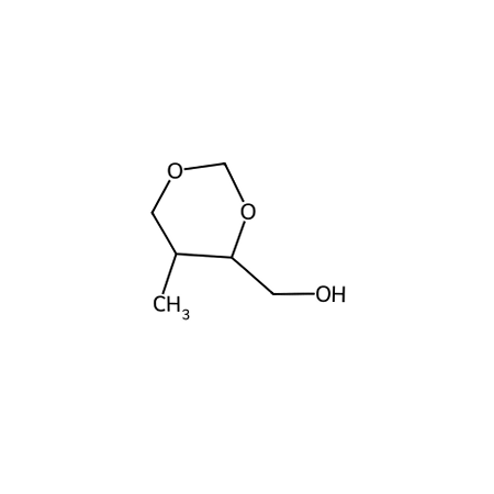 CC1COCOC1CO